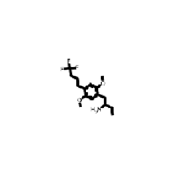 CCC(N)Cc1cc(OC)c(CCCC(F)(F)F)cc1OC